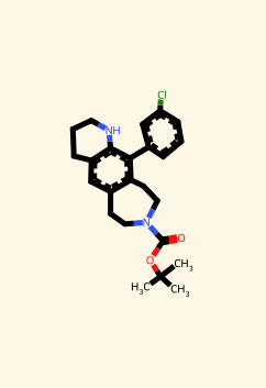 CC(C)(C)OC(=O)N1CCc2cc3c(c(-c4cccc(Cl)c4)c2CC1)NCCC3